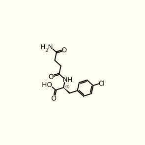 NC(=O)CCC(=O)N[C@@H](Cc1ccc(Cl)cc1)C(=O)O